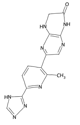 Cc1nc(-c2nnc[nH]2)ccc1-c1cnc2c(n1)NCC(=O)N2